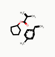 C=C(C)C(=O)OC1CCCCC1.C=Cc1ccc(C)cc1